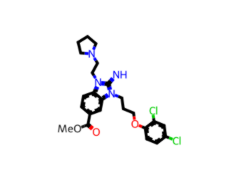 COC(=O)c1ccc2c(c1)n(CCCOc1ccc(Cl)cc1Cl)c(=N)n2CCN1CCCC1